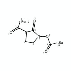 CCCCCC(=O)C1CCN(OC(=O)C(C)(C)C)C1=O